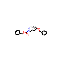 O=C(NCCC[C@H](OCc1ccccc1)C(=O)O)OCc1ccccc1